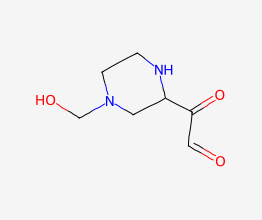 O=CC(=O)C1CN(CO)CCN1